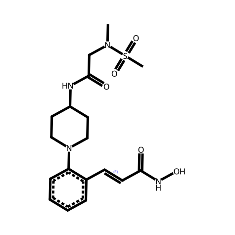 CN(CC(=O)NC1CCN(c2ccccc2/C=C/C(=O)NO)CC1)S(C)(=O)=O